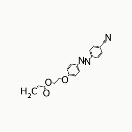 C=CC(=O)OCCOc1ccc(N=Nc2ccc(C#N)cc2)cc1